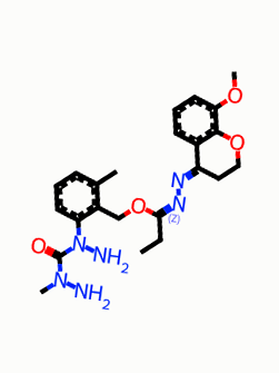 CC/C(=N/N=C1CCOc2c(OC)cccc21)OCc1c(C)cccc1N(N)C(=O)N(C)N